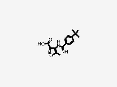 Cc1onc(C(=O)O)c1NC(=N)c1ccc(C(C)(C)C)cc1